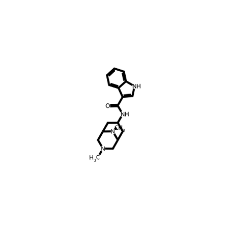 CN1CC2CC(NC(=O)c3c[nH]c4ccccc34)CC(C1)N2C